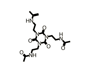 C=C(C)NCCn1c(=O)n(CCNC(C)=O)c(=O)n(CCNC(C)=O)c1=O